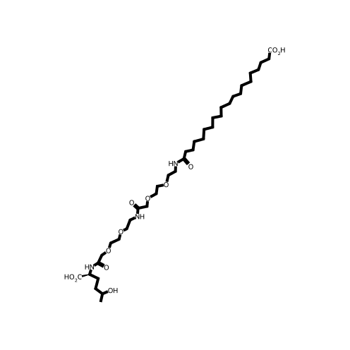 CC(O)CC[C@H](NC(=O)COCCOCCNC(=O)COCCOCCNC(=O)CCCCCCCCCCCCCCCCCCC(=O)O)C(=O)O